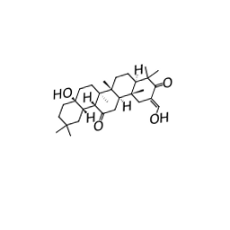 CC1(C)CC[C@]2(O)CC[C@]3(C)[C@H](C(=O)C[C@@H]4[C@@]5(C)C/C(=C\O)C(=O)C(C)(C)[C@@H]5CC[C@]43C)[C@@H]2C1